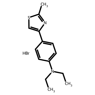 Br.CCN(CC)c1ccc(-c2csc(C)n2)cc1